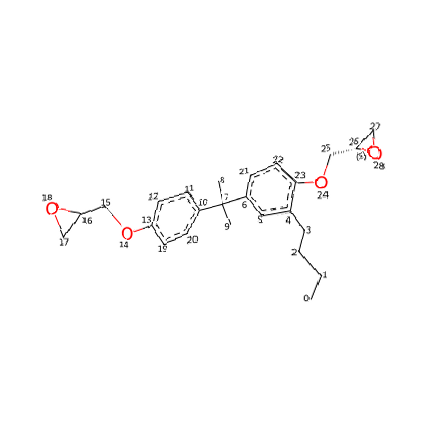 CCCCc1cc(C(C)(C)c2ccc(OCC3CO3)cc2)ccc1OC[C@@H]1CO1